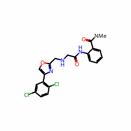 CNC(=O)c1ccccc1NC(=O)CNCc1nc(-c2cc(Cl)ccc2Cl)co1